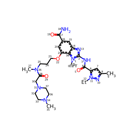 CCCn1c(NC(=O)c2cc(C)nn2CC)nc2cc(C(N)=O)cc(OCCCN(C)C(=O)CN3CCN(C)CC3)c21